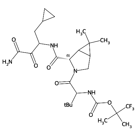 CC(C)(C)C(NC(=O)OC(C)(C)C(F)(F)F)C(=O)N1CC2C([C@H]1C(=O)NC(CC1CC1)C(=O)C(N)=O)C2(C)C